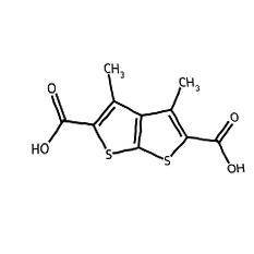 Cc1c(C(=O)O)sc2sc(C(=O)O)c(C)c12